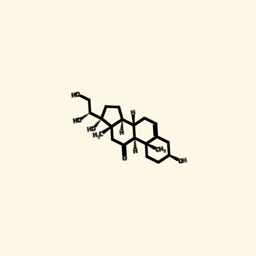 C[C@]12CC[C@H](O)CC1=CC[C@@H]1[C@@H]2C(=O)C[C@@]2(C)[C@H]1CC[C@]2(O)[C@H](O)CO